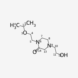 CC(C)OCCN1CCN(CCO)CC1=O